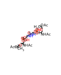 CC(=O)N[C@H](COCC(C)OC(C)=O)COP(=O)(O)OCCNC(=O)NCCOP(=O)(O)OC[C@@H](COCC(C)OC(C)=O)NC(C)=O